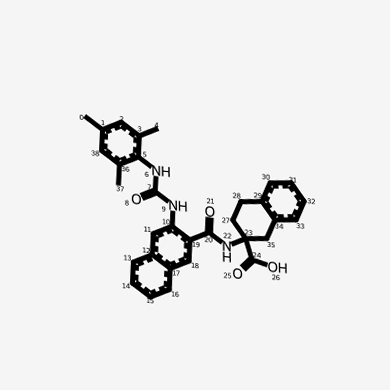 Cc1cc(C)c(NC(=O)Nc2cc3ccccc3cc2C(=O)NC2(C(=O)O)CCc3ccccc3C2)c(C)c1